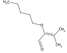 CCCCCOC(C=O)=C(C)C